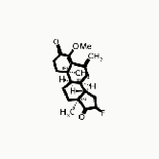 C=C1C[C@@H]2[C@@H](CC[C@]3(C)C(=O)C(F)C[C@@H]23)[C@@]2(C)CCC(=O)C(OC)=C12